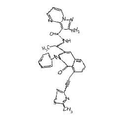 Cc1nc(C#Cc2cccc3cc(C(C)NC(=O)c4c(N)nn5cccnc45)n(-c4ccccc4)c(=O)c23)cs1